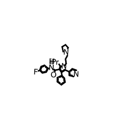 CC(C)c1c(C(=O)Nc2ccc(F)cc2)c(-c2ccccc2)c(-c2ccncc2)n1CCCN1CCCC1